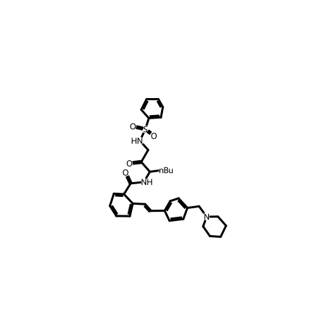 CCCCC(NC(=O)c1ccccc1C=Cc1ccc(CN2CCCCC2)cc1)C(=O)CNS(=O)(=O)c1ccccc1